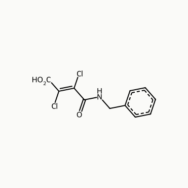 O=C(O)C(Cl)=C(Cl)C(=O)NCc1ccccc1